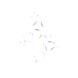 Cc1cc(N2CCC(F)(F)CC2)nc(NC(=O)c2ccc(S(=O)(=O)Cl)cc2N2CCC3(CC2)CC3)n1